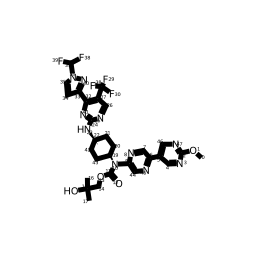 COc1ncc(-c2cnc(N(C(=O)OCC(C)(C)O)[C@H]3CC[C@H](Nc4ncc(C(F)(F)F)c(-c5ccn(C(F)F)n5)n4)CC3)cn2)cn1